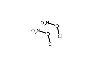 O=[N+]([O-])OCl.O=[N+]([O-])OCl